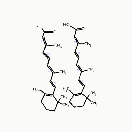 CC1=C(/C=C/C(C)=C/C=C/C(C)=C/C(=O)O)C(C)(C)CCC1.CC1=C(/C=C/C(C)=C/C=C/C(C)=C/C(=O)O)C(C)(C)CCC1